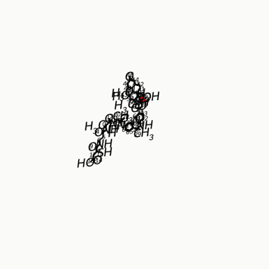 C[C@H](NC(=O)CCNC(=O)C(S)CC(=O)O)C(=O)N[C@@H](C)C(=O)Nc1ccc([C@@H](C)Nc2ccc([C@@H]3O[C@@H]4CC5[C@@H]6CCC7=CC(=O)C=C[C@]7(C)C6[C@@H](O)C[C@]5(C)[C@]4(C(=O)CO)O3)cn2)cc1